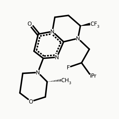 CC(C)C(F)CN1c2nc(N3CCOC[C@H]3C)cc(=O)n2CC[C@H]1C(F)(F)F